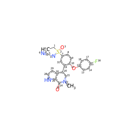 CCS(=O)(=NC#N)c1ccc(Oc2ccc(F)cc2)c(-c2cn(C)c(=O)c3[nH]ccc23)c1